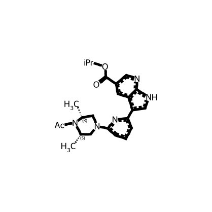 CC(=O)N1[C@H](C)CN(c2cccc(-c3c[nH]c4ncc(C(=O)OC(C)C)cc34)n2)C[C@@H]1C